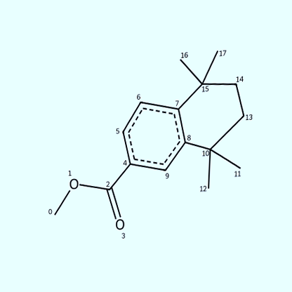 COC(=O)c1ccc2c(c1)C(C)(C)CCC2(C)C